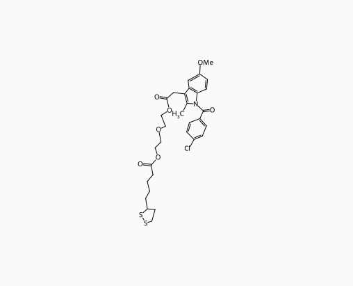 COc1ccc2c(c1)c(CC(=O)OCCOCCOC(=O)CCCCC1CCSS1)c(C)n2C(=O)c1ccc(Cl)cc1